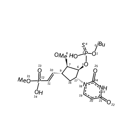 CCC(C)OP(O)(=S)O[C@@H]1[C@H](OC)[C@@H](/C=C/P(=O)(O)OC)C[C@H]1n1ccc(=O)[nH]c1=O